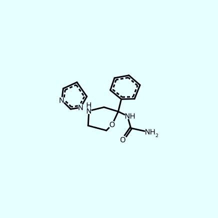 NC(=O)NC1(c2ccccc2)CNCCO1.c1cncnc1